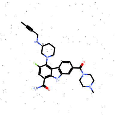 CC#CCN[C@H]1CCCN(c2c(F)cc(C(N)=O)c3[nH]c4cc(C(=O)N5CCN(C)CC5)ccc4c23)C1